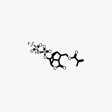 C=C(C)C(=O)OCC1C2CC3C(OC(=O)C13)C2OS(=O)(=O)NS(=O)(=O)C(F)(F)F